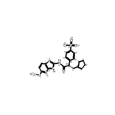 COc1ccc2nc(NC(=O)[C@H](CC3CCCC3)c3ccc(S(=O)(=O)Cl)cc3)sc2n1